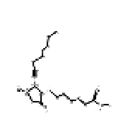 CCCCCCC#C[C@H]1[C@H](O)CC(=O)[C@H]1CCCCCCC(=O)OC